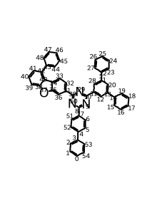 c1ccc(-c2ccc(-c3nc(-c4cc(-c5ccccc5)cc(-c5ccccc5)c4)nc(-c4ccc5c(c4)oc4cccc(-c6ccccc6)c45)n3)cc2)cc1